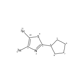 [2H]c1nc(C2CCCC2)sc1[2H]